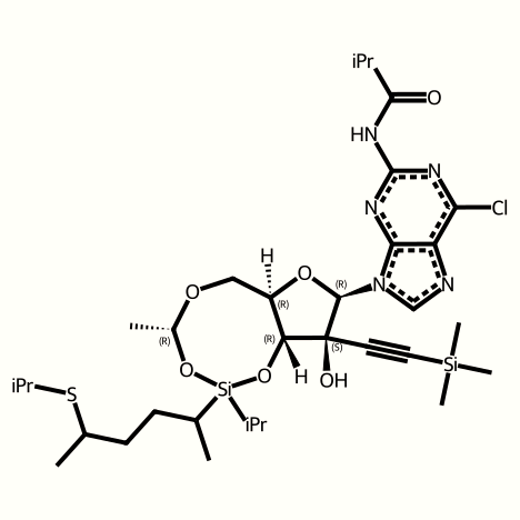 CC(C)SC(C)CCC(C)[Si]1(C(C)C)O[C@H](C)OC[C@H]2O[C@@H](n3cnc4c(Cl)nc(NC(=O)C(C)C)nc43)[C@](O)(C#C[Si](C)(C)C)[C@@H]2O1